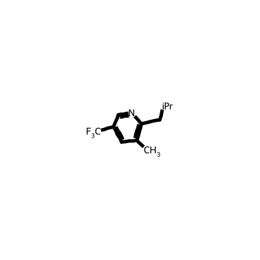 Cc1cc(C(F)(F)F)cnc1CC(C)C